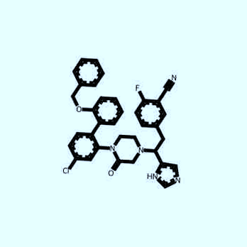 N#Cc1cc(CC(c2cnc[nH]2)N2CCN(c3cc(Cl)ccc3-c3ccccc3OCc3ccccc3)C(=O)C2)ccc1F